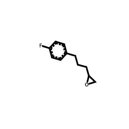 Fc1ccc(CCCC2CO2)cc1